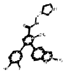 Cn1cc2cc(-c3c(-c4ccc(C#N)c(F)c4)cc(C(=O)NC[C@@H]4CCNC4)n3C)ccc2n1